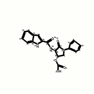 O=C(O)O[C@H]1CN(c2ccccc2)C(=O)[C@@H]1NC(=O)c1cc2ccccc2[nH]1